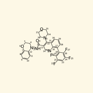 O=C(NN1CCOc2ccccc21)c1cnc2c(-c3c(F)c(F)cc(F)c3F)cccc2c1N1CCOCC1